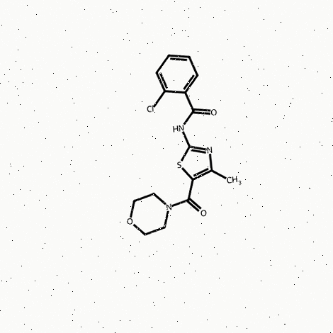 Cc1nc(NC(=O)c2ccccc2Cl)sc1C(=O)N1CCOCC1